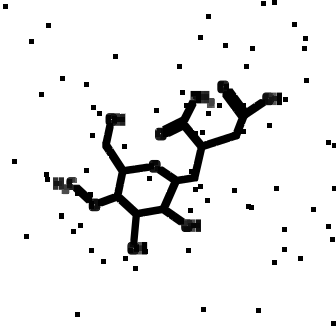 COC1C(CO)OC(CC(CC(=O)O)C(N)=O)C(O)C1O